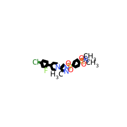 Cc1nn(S(=O)(=O)c2ccc(S(=O)(=O)N(C)C)cc2)cc1N1CCC(c2ccc(Cl)cc2F)CC1